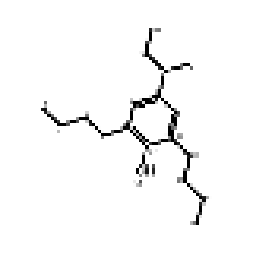 CCCCc1cc(C(C)CC)cc(CCCC)c1O